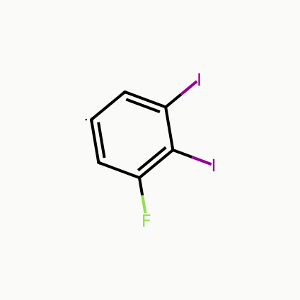 Fc1c[c]cc(I)c1I